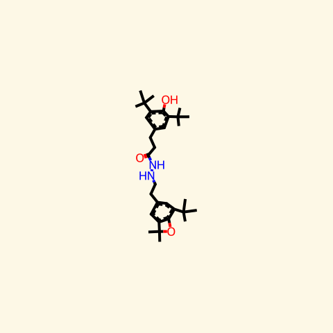 CC(C)(C)c1cc(CCC(=O)NNCCc2cc(C(C)(C)C)c3c(c2)C(C)(C)O3)cc(C(C)(C)C)c1O